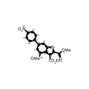 CCOC(=O)c1c(C(=O)OC)sc2cc(-c3ccc([N+](=O)[O-])cc3)cc(OC)c12